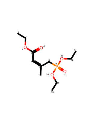 CCOC(=O)C=C(C)CP(=O)(OCC)OCC